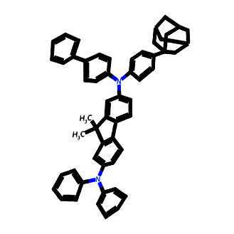 CC1(C)c2cc(N(c3ccccc3)c3ccccc3)ccc2-c2ccc(N(c3ccc(-c4ccccc4)cc3)c3ccc(C45CC6CC(CC(C6)C4)C5)cc3)cc21